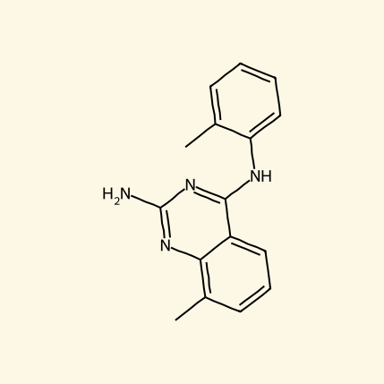 Cc1ccccc1Nc1nc(N)nc2c(C)cccc12